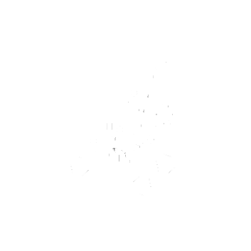 CC1(C)O[C@@H]([C@@H]2OC(C)(C)O[C@@H]2CO[Si](C)(C)C(C)(C)C)[C@@H](C(O)O[C@@H]2O[C@@H]3COC(c4ccccc4)O[C@H]3[C@H](OCc3ccccc3)[C@@H]2OCc2ccccc2)O1